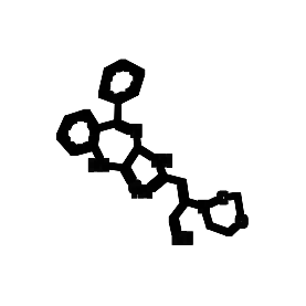 N=C/C(=C\C(=N)NC1N=C(c2ccccc2)c2ccccc2NC1=O)N1CCOCC1